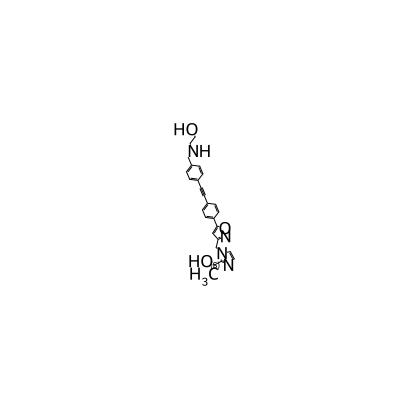 C[C@H](O)c1nccn1Cc1cc(-c2ccc(C#Cc3ccc(CNCCO)cc3)cc2)on1